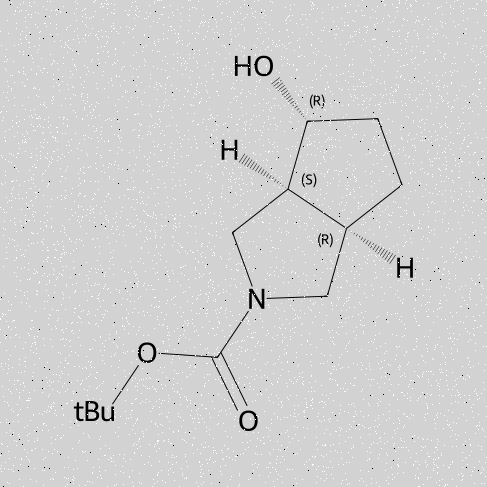 CC(C)(C)OC(=O)N1C[C@@H]2CC[C@@H](O)[C@@H]2C1